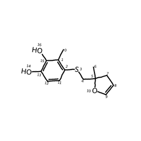 Cc1c(SCC2(C)CC=CO2)ccc(O)c1O